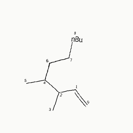 C=CC(C)C(C)CCCCCC